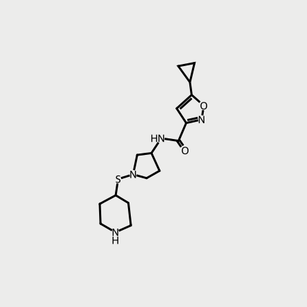 O=C(NC1CCN(SC2CCNCC2)C1)c1cc(C2CC2)on1